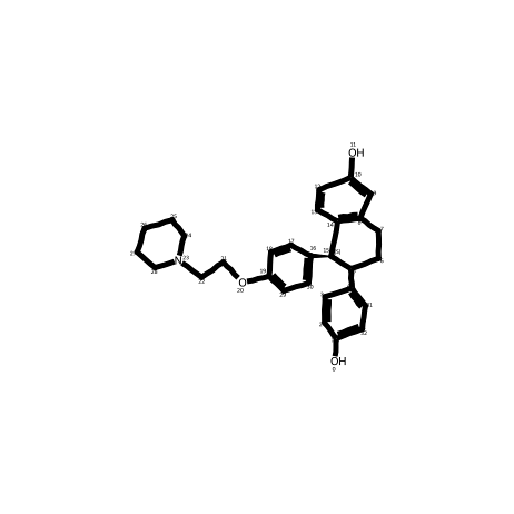 Oc1ccc(C2CCc3cc(O)ccc3[C@@H]2c2ccc(OCCN3CCCCC3)cc2)cc1